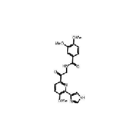 COc1ccc(C(=O)NCC(=O)c2ccc(OC)c(-c3c[nH]cn3)n2)cc1OC